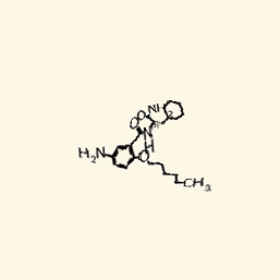 CCCCCCOc1ccc(N)cc1C(=O)N[C@@H](CC1CCCCC1)C(N)=O